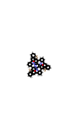 C1=CC2Sc3c(-c4cccc5c6ccccc6n(-c6cc(-n7c8ccccc8c8cccc(-c9cccc%10c9sc9ccccc9%10)c87)nc(-n7c8ccccc8c8cccc(-c9cccc%10c9sc9ccccc9%10)c87)c6)c45)cccc3C2C=C1